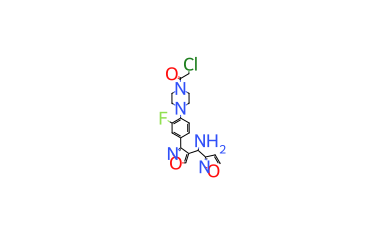 NC(c1ccon1)c1conc1-c1ccc(N2CCN(C(=O)CCl)CC2)c(F)c1